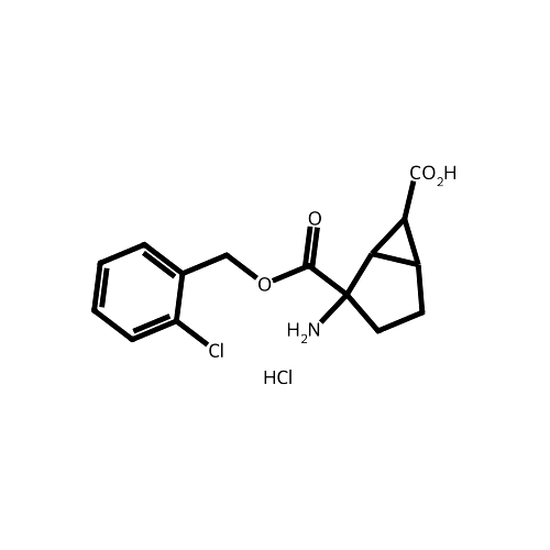 Cl.NC1(C(=O)OCc2ccccc2Cl)CCC2C(C(=O)O)C21